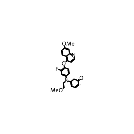 COCCN(C1=CC=[C]C(=O)C1)c1ccc(Oc2ccnc3cc(OC)ccc23)c(F)c1